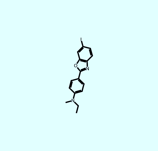 CCN(C)c1ccc(-c2nc3ccc(I)cc3o2)cc1